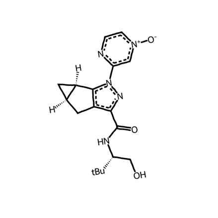 CC(C)(C)[C@@H](CO)NC(=O)c1nn(-c2c[n+]([O-])ccn2)c2c1C[C@H]1C[C@@H]21